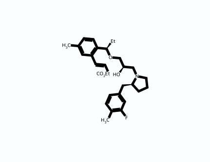 CCOC(=O)/C=C/c1cc(C)ccc1[C@@H](CC)OC[C@H](O)CN1CCC[C@H]1Cc1ccc(C)c(F)c1